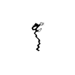 CCCCCCCCCCC(=O)c1ccccc1O